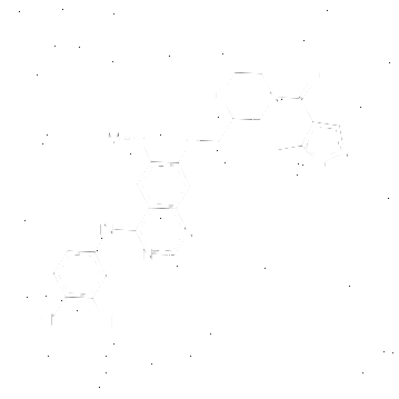 COc1cc2c(Nc3ccc(Cl)c(Cl)c3)ncnc2cc1OCC1CN(C(=O)c2c(C)noc2C)CCO1